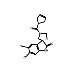 O=C(C1CC=CC1)N1CC[C@]2(C1)C(=O)Nc1cc(Cl)c(Cl)cc12